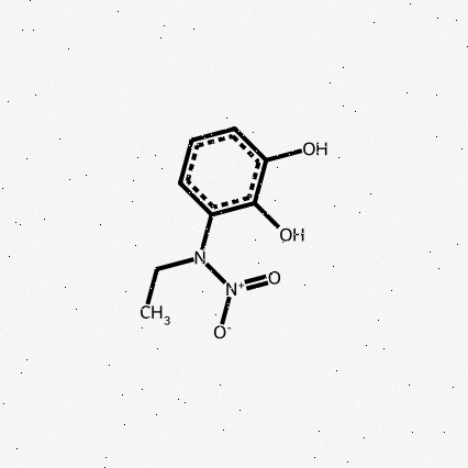 CCN(c1cccc(O)c1O)[N+](=O)[O-]